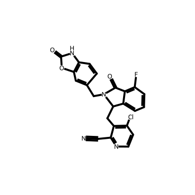 N#Cc1nccc(Cl)c1CC1c2cccc(F)c2C(=O)N1Cc1ccc2[nH]c(=O)oc2c1